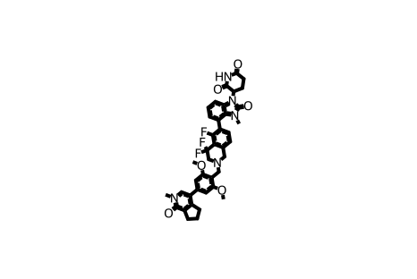 COc1cc(-c2cn(C)c(=O)c3c2CCC3)cc(OC)c1CN1Cc2ccc(-c3cccc4c3n(C)c(=O)n4C3CCC(=O)NC3=O)c(F)c2C(F)(F)C1